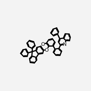 c1ccc(-c2cc(-c3ccccc3-c3cccc4c3Oc3cc5c(cc3O4)C(c3ccccc3)(c3ccccc3)c3ccccc3-5)nc3ccccc23)cc1